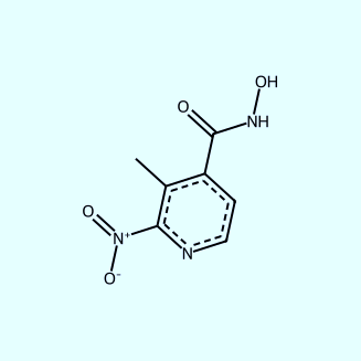 Cc1c(C(=O)NO)ccnc1[N+](=O)[O-]